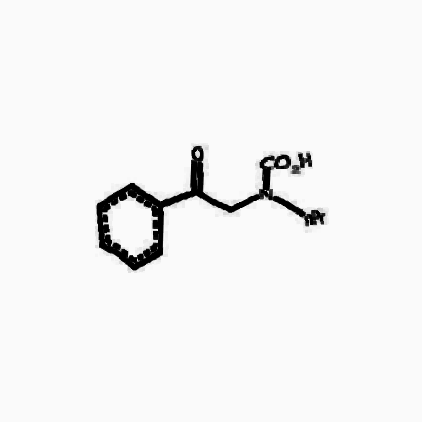 CCCN(CC(=O)c1ccccc1)C(=O)O